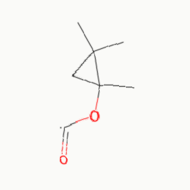 CC1(C)CC1(C)O[C]=O